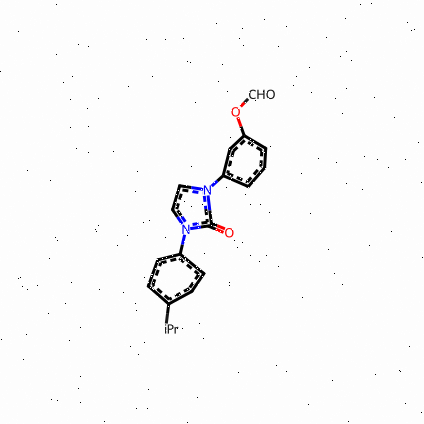 CC(C)c1ccc(-n2ccn(-c3cccc(OC=O)c3)c2=O)cc1